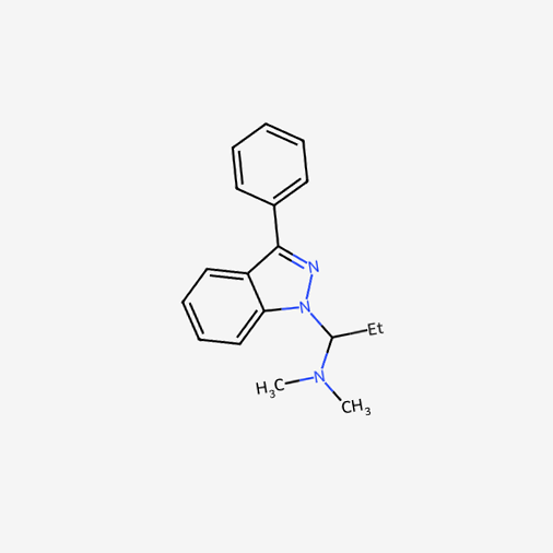 CCC(N(C)C)n1nc(-c2ccccc2)c2ccccc21